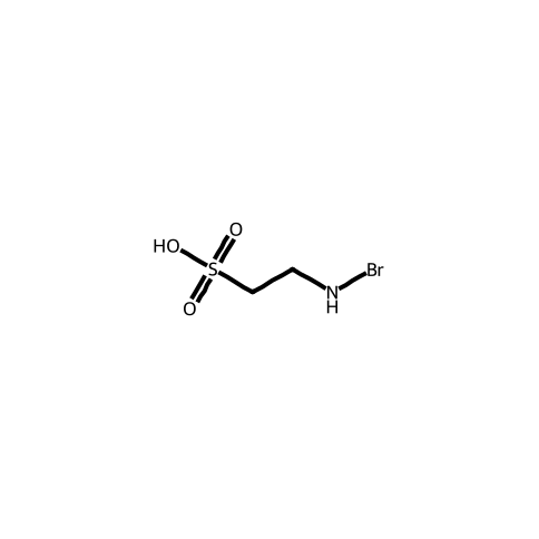 O=S(=O)(O)CCNBr